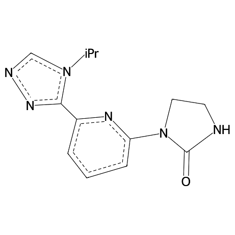 CC(C)n1cnnc1-c1cccc(N2CCNC2=O)n1